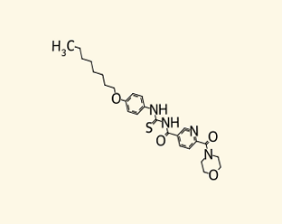 CCCCCCCCOc1ccc(NC(=S)NC(=O)c2ccc(C(=O)N3CCOCC3)nc2)cc1